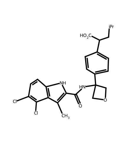 Cc1c(C(=O)NC2(c3ccc(C(CC(C)C)C(=O)O)cc3)COC2)[nH]c2ccc(Cl)c(Cl)c12